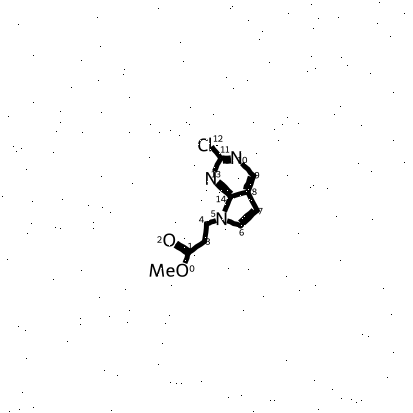 COC(=O)CCn1ccc2cnc(Cl)nc21